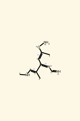 CN/C=C(C)/C(/C=C(\C)ON)=N\C=N